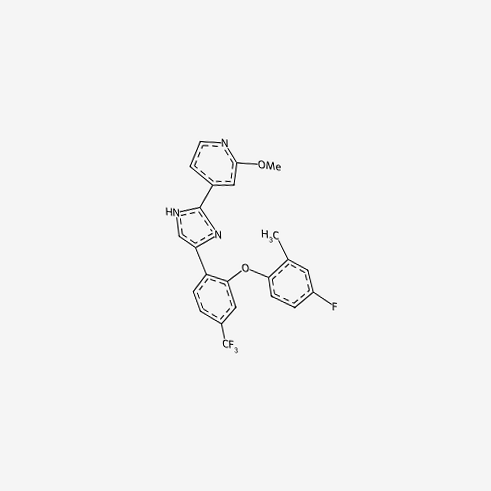 COc1cc(-c2nc(-c3ccc(C(F)(F)F)cc3Oc3ccc(F)cc3C)c[nH]2)ccn1